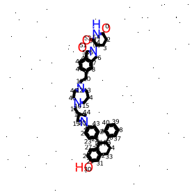 O=C1CC[C@H](N2Cc3cc(CCN4CCCN(CC5CN(c6ccc([C@@H]7c8ccc(O)cc8CC[C@@H]7c7ccccc7)cc6)C5)CC4)ccc3C2=O)C(=O)N1